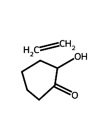 C=C.O=C1CCCCC1O